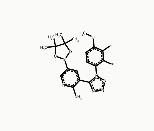 COc1ccc(-n2nnnc2-c2cc(B3OC(C)(C)C(C)(C)O3)cnc2N)c(F)c1F